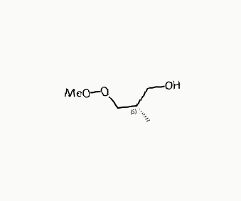 COOC[C@@H](C)CO